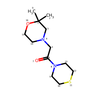 CC1(C)CN(CC(=O)N2CCSCC2)CCO1